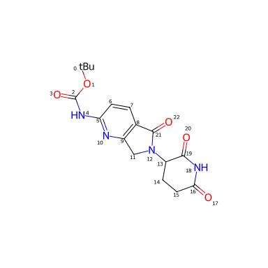 CC(C)(C)OC(=O)Nc1ccc2c(n1)CN(C1CCC(=O)NC1=O)C2=O